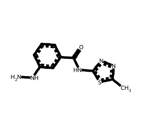 Cc1nnc(NC(=O)c2cccc(NN)c2)s1